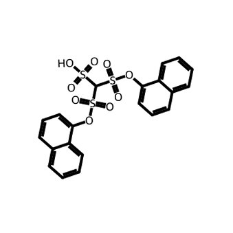 O=S(=O)(O)C(S(=O)(=O)Oc1cccc2ccccc12)S(=O)(=O)Oc1cccc2ccccc12